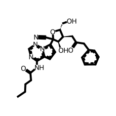 CCCCC(=O)Nc1ncnn2c(C3(C#N)O[C@H](CO)[C@@H](CC(=O)Cc4ccccc4)[C@H]3O)ccc12